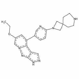 CCOc1cc(-c2ccc(N3CC4(CCNCC4)C3)nc2)c2c3cn[nH]c3nn2c1